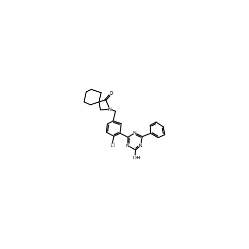 O=C1N(Cc2ccc(Cl)c(-c3nc(O)nc(-c4ccccc4)n3)c2)CC12CCCCC2